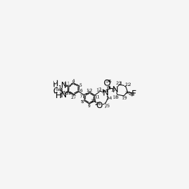 Cc1nc2ccc(-c3ccc4c(c3)CN(C(=O)N3CCC(F)CC3)CCO4)cc2[nH]1